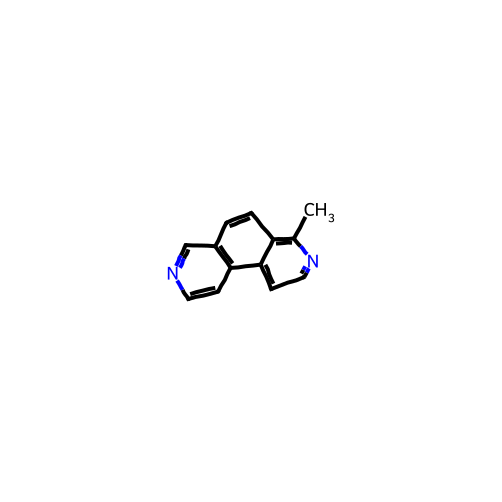 Cc1nccc2c1ccc1cnccc12